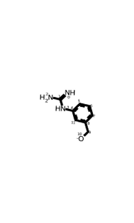 N=C(N)Nc1cccc(C[O])c1